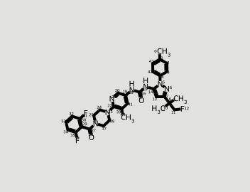 Cc1ccc(-n2nc(C(C)(C)CF)cc2NC(=O)Nc2cnc(N3CCN(C(=O)c4c(F)cccc4F)CC3)c(C)c2)cc1